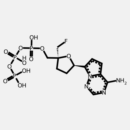 Nc1ncnn2c([C@H]3CC[C@@](CF)(COP(=O)(O)OP(=O)(O)OP(=O)(O)O)O3)ccc12